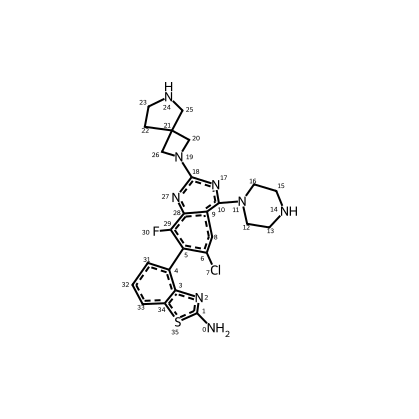 Nc1nc2c(-c3c(Cl)cc4c(N5CCNCC5)nc(N5CC6(CCNC6)C5)nc4c3F)cccc2s1